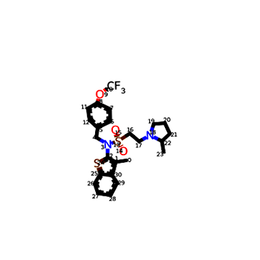 Cc1c(N(Cc2ccc(OC(F)(F)F)cc2)S(=O)(=O)CCN2CCCC2C)sc2ccccc12